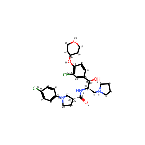 O=C(N[C@H](CN1CCCC1)[C@H](O)c1ccc(OC2CCOCC2)c(Cl)c1)[C@@H]1CCN(c2ccc(Cl)cc2)C1